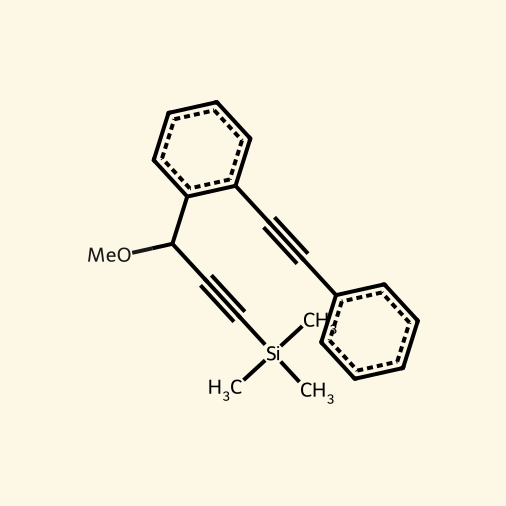 COC(C#C[Si](C)(C)C)c1ccccc1C#Cc1ccccc1